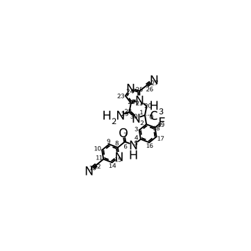 C[C@@]1(c2cc(NC(=O)c3ccc(C#N)cn3)ccc2F)Cn2c(cnc2C#N)C(N)=N1